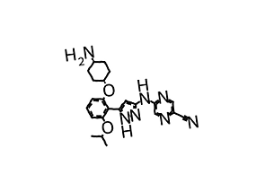 CC(C)Oc1cccc(O[C@H]2CC[C@H](N)CC2)c1-c1cc(Nc2cnc(C#N)cn2)n[nH]1